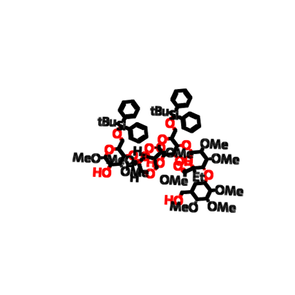 CCC1(C(=O)OC)O[C@@H](O[C@@H]2C(CO[Si](c3ccccc3)(c3ccccc3)C(C)(C)C)O[C@@H](O[C@H]3C(OC)[C@H]4OCC3(C(=O)OC)O[C@H]4O[C@@H]3C(CO[Si](c4ccccc4)(c4ccccc4)C(C)(C)C)O[C@H](OC)C(O)[C@H]3OC)C(O)[C@H]2O)C(OC)[C@@H](OC)[C@@H]1O[C@@H]1CC(CO)[C@@H](OC)[C@H](OC)C1OC